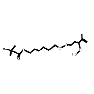 C=C(C)C(CCOOCCCCCCOC(=O)C(C)(C)Br)OO